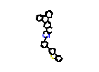 Cc1cc2c3ccccc3c3ccccc3c2cc1-c1cnc(-c2cccc(-c3ccc4c(c3)sc3ccccc34)c2)nc1C